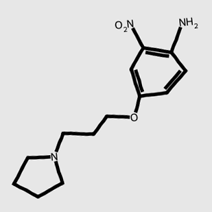 Nc1ccc(OCCCN2CCCC2)cc1[N+](=O)[O-]